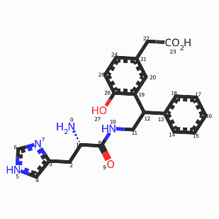 N[C@@H](Cc1c[nH]cn1)C(=O)NCC(c1ccccc1)c1cc(CC(=O)O)ccc1O